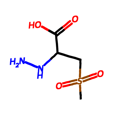 CS(=O)(=O)CC(NN)C(=O)O